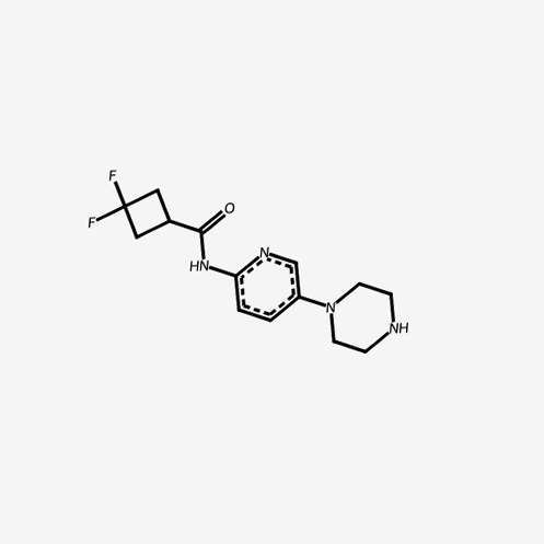 O=C(Nc1ccc(N2CCNCC2)cn1)C1CC(F)(F)C1